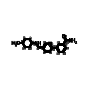 CC1CCC(NCc2ccc(-c3cccc(C(N)=O)c3)nc2)CC1